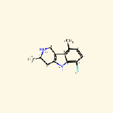 Cc1ccc(F)c2[nH]c3c(c12)CNC(C)C3